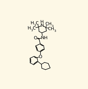 CC1(C)CC(NC(=O)c2ccc(Oc3ccccc3C3CCCCC3)cc2)CC(C)(C)N1